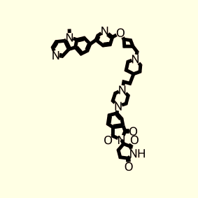 Cn1c2ccncc2c2ccc(-c3ccc(OC4CC(CN5CCC(CCN6CCN(c7ccc8c(c7)C(=O)N(C7CCC(=O)NC7=O)C8=O)CC6)CC5)C4)nc3)cc21